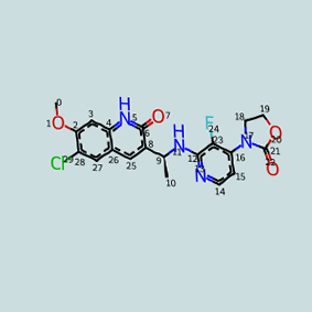 COc1cc2[nH]c(=O)c([C@H](C)Nc3nccc(N4CCOC4=O)c3F)cc2cc1Cl